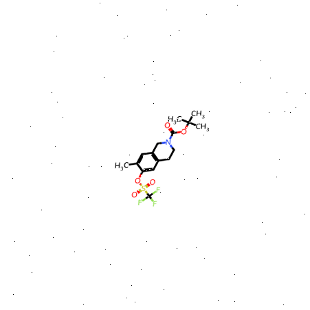 Cc1cc2c(cc1OS(=O)(=O)C(F)(F)F)CCN(C(=O)OC(C)(C)C)C2